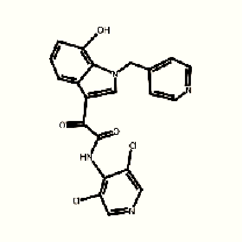 O=C(Nc1c(Cl)cncc1Cl)C(=O)c1cn(Cc2ccncc2)c2c(O)cccc12